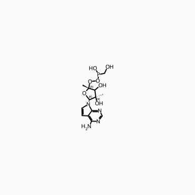 C[C@]1(OOP(O)CO)O[C@@H](n2ccc3c(N)ncnc32)[C@](C)(O)C1O